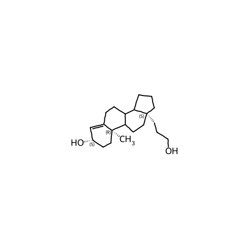 C[C@]12CC[C@H](O)C=C1CCC1C3CCC[C@@]3(CCCO)CCC12